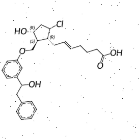 O=C(O)CCCC=CC[C@H]1C(Cl)C[C@@H](O)[C@@H]1COc1cccc(C(O)Cc2ccccc2)c1